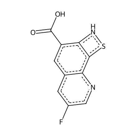 O=C(O)c1cc2cc(F)cnc2c2s[nH]c12